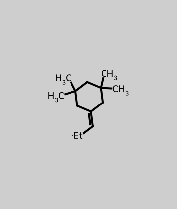 C[CH]C=C1CC(C)(C)CC(C)(C)C1